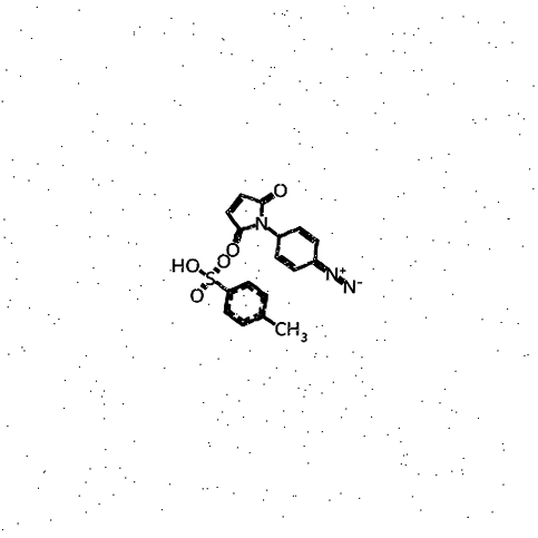 Cc1ccc(S(=O)(=O)O)cc1.[N-]=[N+]=C1C=CC(N2C(=O)C=CC2=O)C=C1